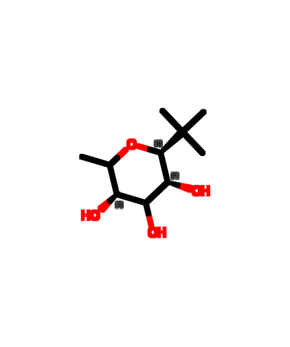 CC1O[C@@H](C(C)(C)C)[C@@H](O)C(O)[C@H]1O